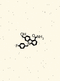 NC(=O)c1cccc2c1c1[c]cc(CO)cc1n2Cc1ccc(F)cc1